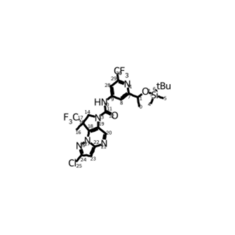 CC(O[Si](C)(C)C(C)(C)C)c1cc(NC(=O)N2C[C@@](C)(C(F)(F)F)c3c2cnc2cc(Cl)nn32)cc(C(F)(F)F)n1